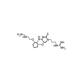 N=C(N)NCCCn1cc2c(nc1=S)Nc1c(OCCNCN)cccc1O2